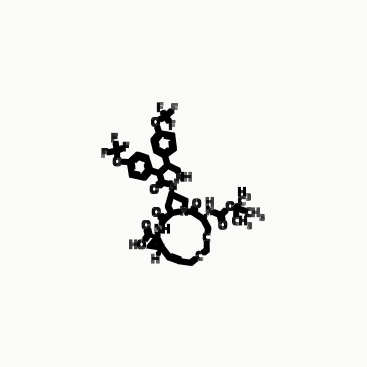 CC(C)(C)OC(=O)N[C@@H]1CCCCC/C=C\[C@@H]2C[C@]2(C(=O)O)NC(=O)C2C[C@@H](N3NCC(c4ccc(OC(F)(F)F)cc4)C(c4ccc(OC(F)(F)F)cc4)C3=O)CN2C1=O